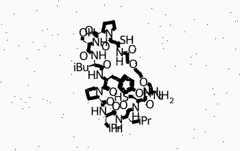 CC[C@H](C)[C@H](NC(=O)[C@H](CO)NC(=O)[C@@H]1CCCN1C(=O)C(S)NC(=O)COCCOCCN)C(=O)N[C@@H](Cc1ccc(O)cc1)C(=O)N1CCC[C@H]1C(=O)N[C@@H](CC(C)C)C(=O)N[C@@H](CC(C)C)C(=O)N[C@@H](CS)C(N)=O